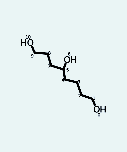 OCCCC[C](O)CCCO